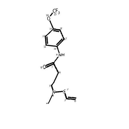 C=CSN(C)CCC(=O)Nc1ccc(OC(F)(F)F)cc1